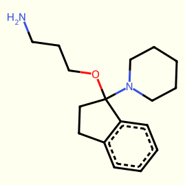 NCCCOC1(N2CCCCC2)CCc2ccccc21